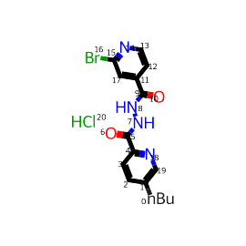 CCCCc1ccc(C(=O)NNC(=O)c2ccnc(Br)c2)nc1.Cl